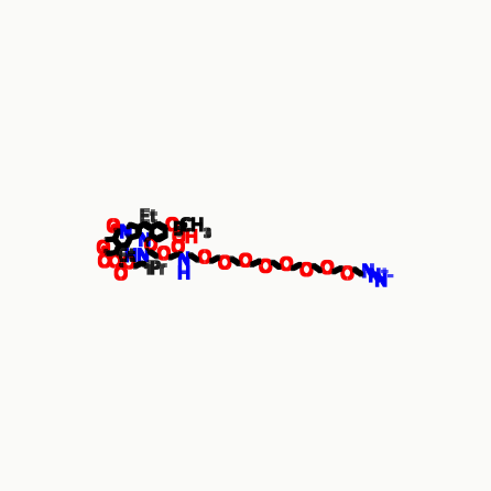 CCc1c2c(nc3ccc(OB(C)O)cc13)C1CC3C(COC(=O)C3(CC)OC(=O)OCC(NC(=O)COCC(=O)NCCOCCOCCOCCOCCOCCOCCOCCOCCN=[N+]=[N-])C(C)C)C(=O)N1C2